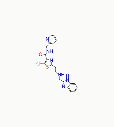 O=C(NCc1ccccn1)c1nc(CCNCc2nc3ccccc3[nH]2)sc1Cl